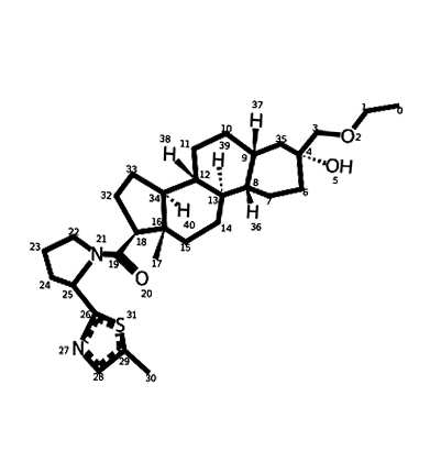 CCOC[C@@]1(O)CC[C@H]2[C@H](CC[C@@H]3[C@@H]2CC[C@]2(C)[C@@H](C(=O)N4CCCC4c4ncc(C)s4)CC[C@@H]32)C1